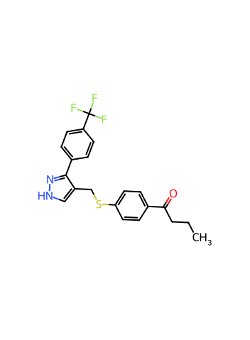 CCCC(=O)c1ccc(SCc2c[nH]nc2-c2ccc(C(F)(F)F)cc2)cc1